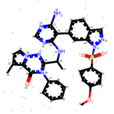 COc1ccc(S(=O)(=O)n2ncc3ccc(-c4c(N)ncnc4NC(C)c4nn5ccc(C)c5c(=O)n4-c4ccccc4)cc32)cc1